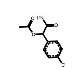 CC(=O)OC(C([NH])=O)c1ccc(Cl)cc1